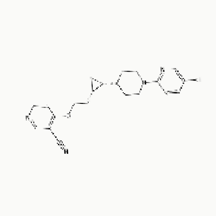 N#Cc1cnccc1OCC[C@@H]1C[C@@H]1C1CCN(c2ncc(Cl)cn2)CC1